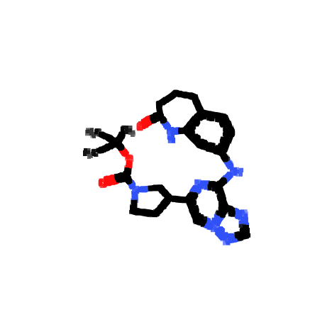 CC(C)(C)OC(=O)N1CCC(c2cn3ncnc3c(Nc3ccc4c(c3)NC(=O)CCC4)n2)C1